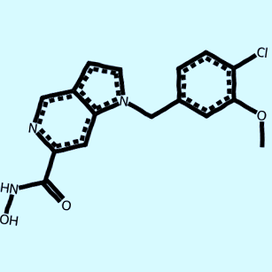 COc1cc(Cn2ccc3cnc(C(=O)NO)cc32)ccc1Cl